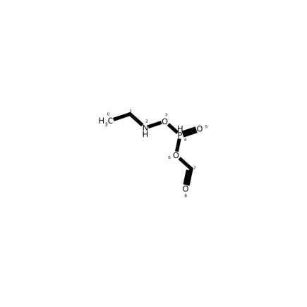 CCNO[PH](=O)OC=O